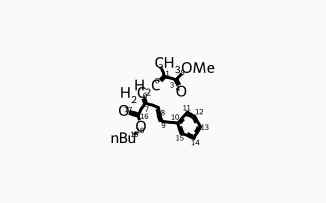 C=C(C)C(=O)OC.C=C(C=Cc1ccccc1)C(=O)OCCCC